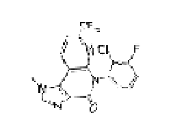 Cn1cnc2c(=O)n(-c3cccc(F)c3Cl)c3nc(C(F)(F)F)ccc3c21